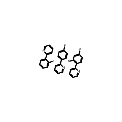 Fc1ccc(-c2ccccn2)c(F)c1.Fc1ccc(-c2ccccn2)cc1.Fc1ccccc1-c1ccccn1